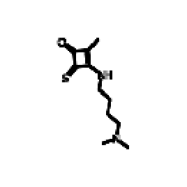 Cc1c(NCCCCN(C)C)c(=S)c1=O